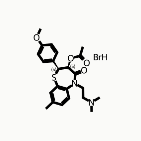 Br.COc1ccc([C@@H]2Sc3cc(C)ccc3N(CCN(C)C)C(=O)[C@@H]2OC(C)=O)cc1